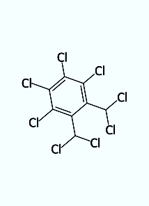 Clc1c(Cl)c(Cl)c(C(Cl)Cl)c(C(Cl)Cl)c1Cl